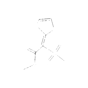 COC(=O)C(=C1SC=CS1)S(C)(=O)=O